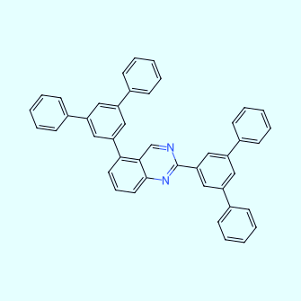 c1ccc(-c2cc(-c3ccccc3)cc(-c3ncc4c(-c5cc(-c6ccccc6)cc(-c6ccccc6)c5)cccc4n3)c2)cc1